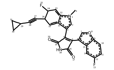 Cn1cc(C2=C(c3coc4ccc(F)cc34)C(=O)NC2=O)c2c1=CC(F)C(C#CC1CC1)C=2